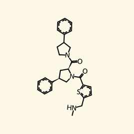 CNCc1ccc(C(=O)N2C[C@@H](c3ccccc3)C[C@H]2C(=O)N2CCC(c3ccccc3)C2)s1